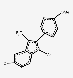 COc1ccc(-c2c(C(F)(F)F)c3cc(Cl)ccc3n2C(C)=O)cc1